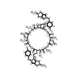 CC(C)CC[C@H]1C(=O)O[C@H](Cc2ccc(Cn3cc4c(n3)CN(C)C4)cc2)C(=O)N(C)[C@@H](CC(C)C)C(=O)O[C@H](C)C(=O)N(C)[C@@H](CC(C)C)C(=O)O[C@H](Cc2ccc(Cn3cc4c(n3)CN(C)C4)cc2)C(=O)N(C)[C@@H](CC(C)C)C(=O)O[C@H](C)C(=O)N1C